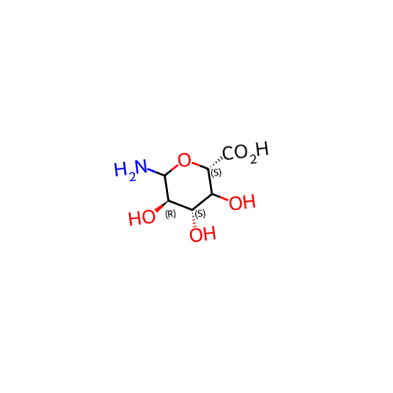 NC1O[C@H](C(=O)O)C(O)[C@H](O)[C@H]1O